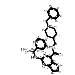 C[C@H](Nc1nc(C(=O)NCC2CCN(Cc3ccccc3)CC2)c2sccc2n1)c1ccccn1